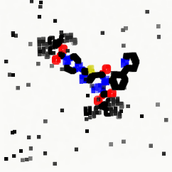 CC(C)(C)OC(=O)NN(C(=O)c1cnc(N2CCN(C(=O)OC(C)(C)C)CC2)s1)c1cccc(-c2ccccn2)c1